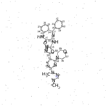 C=N/C=N\N(C)c1ncc(-c2nnc(N[C@H]3N=C(c4ccccc4)c4ccccc4NC3=O)o2)c(N2CCOCC2)n1